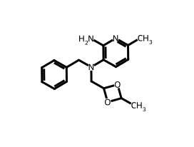 Cc1ccc(N(Cc2ccccc2)CC2OC(C)O2)c(N)n1